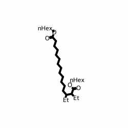 CCCCCCOC(=O)CCCCCCCCCCCCC(CC)C(CC)C(=O)OCCCCCC